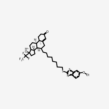 CCOc1ccc2nc(SCCCCCCCCC3CC4=CC(=O)CC[C@]4(C)[C@@H]4CC[C@@]5(C)[C@@H](CCC5(O)C(F)(F)C(F)(F)F)[C@H]34)sc2c1